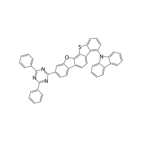 c1ccc(-c2nc(-c3ccccc3)nc(-c3ccc4c(c3)oc3c4ccc4c3sc3cccc(-n5c6ccccc6c6ccccc65)c34)n2)cc1